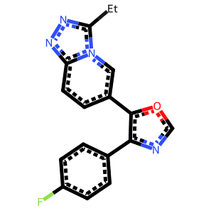 CCc1nnc2ccc(-c3ocnc3-c3ccc(F)cc3)cn12